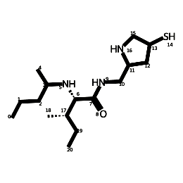 CCCC(C)N[C@H](C(=O)NCC1CC(S)CN1)[C@@H](C)CC